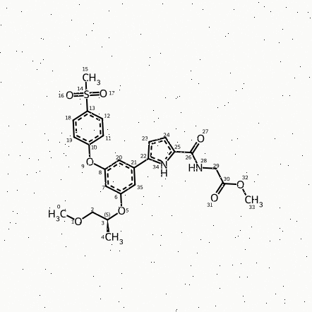 COC[C@H](C)Oc1cc(Oc2ccc(S(C)(=O)=O)cc2)cc(-c2ccc(C(=O)NCC(=O)OC)[nH]2)c1